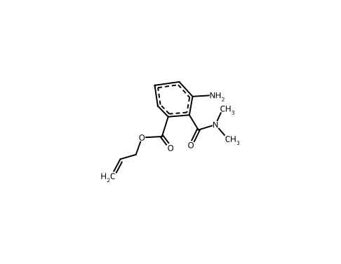 C=CCOC(=O)c1cccc(N)c1C(=O)N(C)C